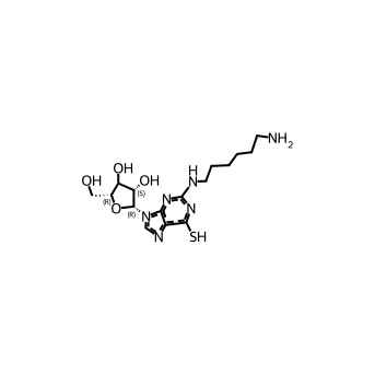 NCCCCCCNc1nc(S)c2ncn([C@@H]3O[C@H](CO)C(O)[C@@H]3O)c2n1